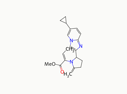 C=C1CCC(c2cn3cc(C4CC4)ccc3n2)N1/C(=C\C)C(=O)OC